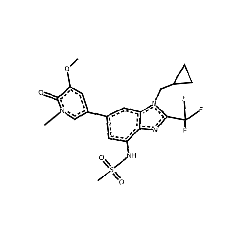 COc1cc(-c2cc(NS(C)(=O)=O)c3nc(C(F)(F)F)n(CC4CC4)c3c2)cn(C)c1=O